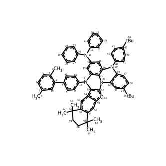 Cc1ccc(C)c(-c2ccc(N3c4cc(N(c5ccccc5)c5ccccc5)cc5c4B(c4cc(C(C)(C)C)ccc4N5c4ccc(C(C)(C)C)cc4)c4oc5cc6c(cc5c43)C(C)(C)CCC6(C)C)cc2)c1